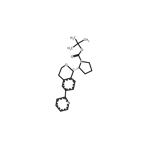 CC(C)(C)OC(=O)N1CCCC1[C@H]1OCCc2cc(-c3ccccn3)ccc21